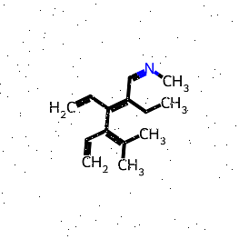 C=CC(=C(C)C)/C(C=C)=C(/C=N\C)CC